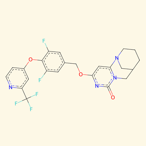 O=c1nc(OCc2cc(F)c(Oc3ccnc(C(F)(F)F)c3)c(F)c2)cc2n1CC1CCCN2C1